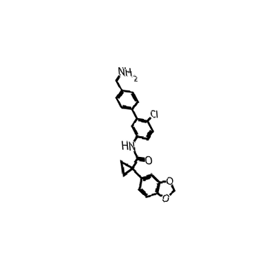 NCc1ccc(-c2cc(NC(=O)C3(c4ccc5c(c4)OCO5)CC3)ccc2Cl)cc1